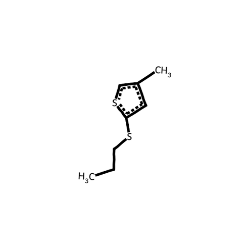 CCCSc1cc(C)cs1